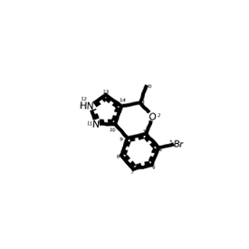 CC1Oc2c(Br)cccc2-c2n[nH]cc21